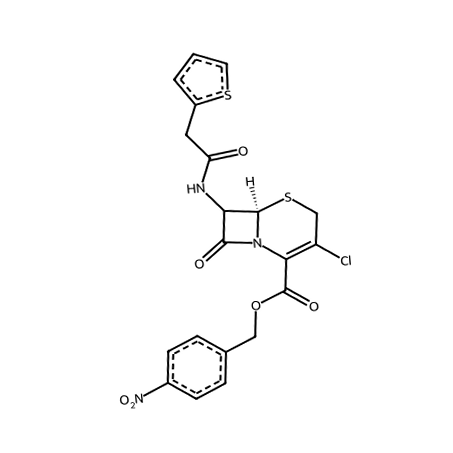 O=C(Cc1cccs1)NC1C(=O)N2C(C(=O)OCc3ccc([N+](=O)[O-])cc3)=C(Cl)CS[C@H]12